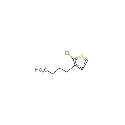 O=C(O)CCCc1c[c]sc1Cl